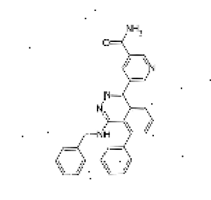 NC(=O)c1cncc(-c2nnc(NCc3ccccc3)c3c(-c4ccccc4)cccc23)c1